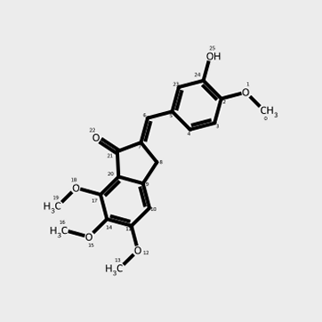 COc1ccc(C=C2Cc3cc(OC)c(OC)c(OC)c3C2=O)cc1O